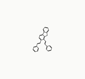 C(=Cc1ccc2c(c1C=Cc1ccccc1)Cc1ccccc1-2)c1ccccc1